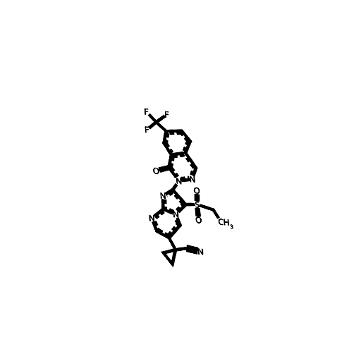 CCS(=O)(=O)c1c(-n2ncc3ccc(C(F)(F)F)cc3c2=O)nc2ncc(C3(C#N)CC3)cn12